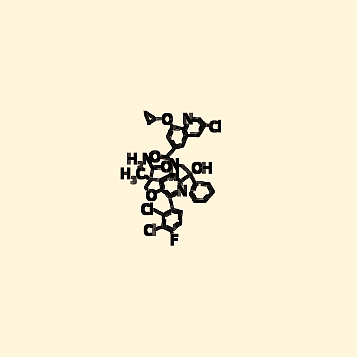 C[C@]1(C(N)=O)COc2c1cc([C@@](O)(CNC(=O)c1cc(OC3CC3)c3ncc(Cl)cc3c1)c1ccccc1)nc2-c1ccc(F)c(Cl)c1Cl